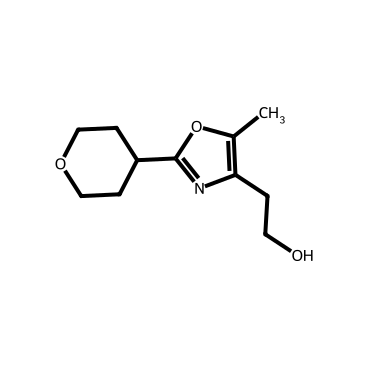 Cc1oc(C2CCOCC2)nc1CCO